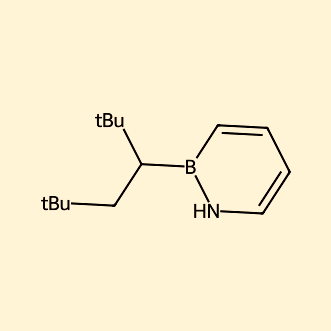 CC(C)(C)CC(B1C=CC=CN1)C(C)(C)C